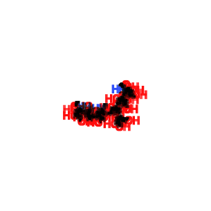 CC(=O)N[C@H]1[C@H](OC[C@H]2O[C@@H](O[C@H]3[C@H](O)[C@@H](O)[C@H](O)O[C@@H]3CO)[C@H](O)[C@@H](O[C@H]3O[C@H](CO)[C@H](O)[C@H](O[C@@H]4O[C@H](CO)[C@H](O)[C@H](O)[C@H]4NC(C)=O)[C@H]3O)[C@H]2O)O[C@H](CO)[C@@H](O[C@@H]2O[C@H](CO)[C@H](O[C@@H]3O[C@H](CO)[C@H](O)[C@H](O)[C@H]3NC(C)=O)[C@H](O)[C@H]2O)[C@@H]1O